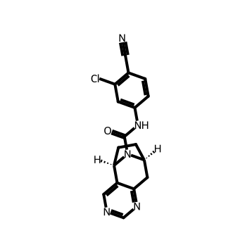 N#Cc1ccc(NC(=O)N2[C@H]3CC[C@@H]2c2cncnc2C3)cc1Cl